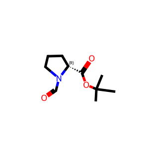 CC(C)(C)OC(=O)[C@H]1CCCN1C=O